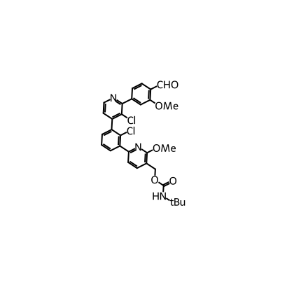 COc1cc(-c2nccc(-c3cccc(-c4ccc(COC(=O)NC(C)(C)C)c(OC)n4)c3Cl)c2Cl)ccc1C=O